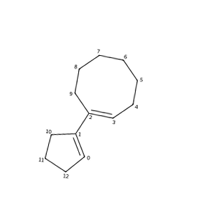 C1=C(C2=CCCCCCC2)CCC1